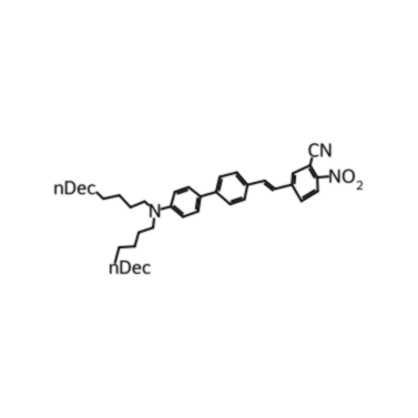 CCCCCCCCCCCCCCN(CCCCCCCCCCCCCC)c1ccc(-c2ccc(C=Cc3ccc([N+](=O)[O-])c(C#N)c3)cc2)cc1